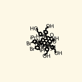 CC(C)c1cc(Br)cc(C(C)C)c1NC(=N)c1c(C(=O)O)c(Oc2ccc(CCO)cc2)c2c3c(Oc4ccc(CCO)cc4)cc4c5c(cc(Oc6ccc(CCO)cc6)c(c6c(Oc7ccc(CCO)cc7)cc(C(=O)Nc7c(C(C)C)cc(Br)cc7C(C)C)c1c62)c53)C(=O)NC4=O